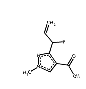 C=CC(F)c1nn(C)cc1C(=O)O